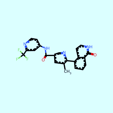 Cc1cc(C(=O)Nc2ccnc(C(F)(F)F)c2)cnc1-c1cccc2c(=O)[nH]ccc12